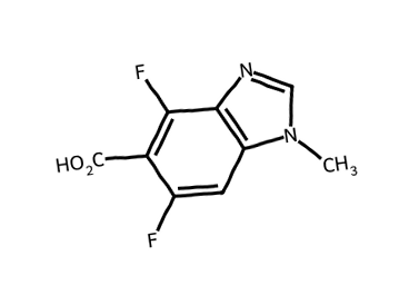 Cn1cnc2c(F)c(C(=O)O)c(F)cc21